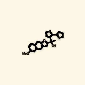 COc1ccc2cc3oc(C(C)(O)c4ccsc4-c4cccs4)cc3cc2c1